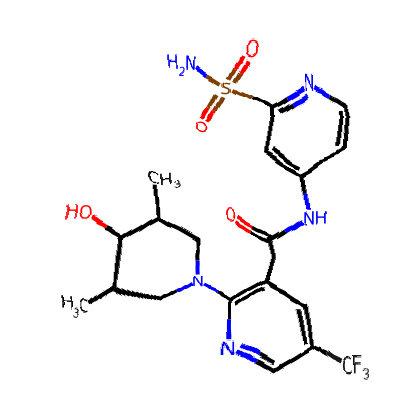 CC1CN(c2ncc(C(F)(F)F)cc2C(=O)Nc2ccnc(S(N)(=O)=O)c2)CC(C)C1O